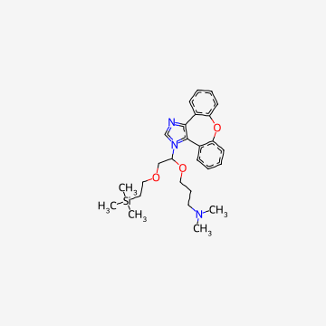 CN(C)CCCOC(COCC[Si](C)(C)C)n1cnc2c1-c1ccccc1Oc1ccccc1-2